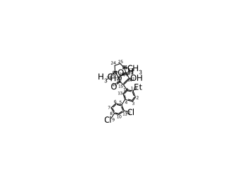 CCc1ccc(-c2ccc(Cl)cc2Cl)cc1C1=C(O)[C@H]2[C@@H](C1=O)[C@]1(C)CC[C@@]2(C)O1